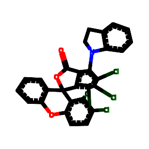 O=C1OC2(c3ccccc3Oc3ccc(Cl)c(Cl)c32)c2c(Cl)c(Cl)c(Cl)c(N3CCc4ccccc43)c21